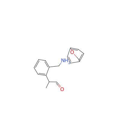 CC(C=O)c1ccccc1CN.c1cc2ccc1CO2